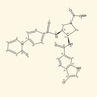 COC(=O)N1C[C@H](NC(=O)c2ccc(-n3ccccc3=O)cc2)[C@H](NC(=O)c2ccc3c(Cl)c[nH]c3c2)C1